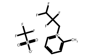 Cc1cccc[n+]1CC(F)(F)C(F)F.O=S(=O)([O-])C(F)(F)F